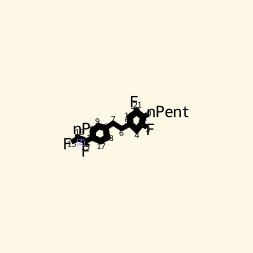 CCCCCc1c(F)cc(CCc2ccc(/C(F)=C(/F)CCC)cc2)cc1F